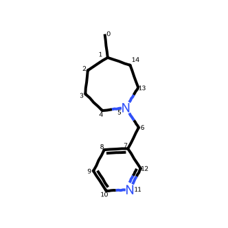 CC1CCCN(Cc2cccnc2)CC1